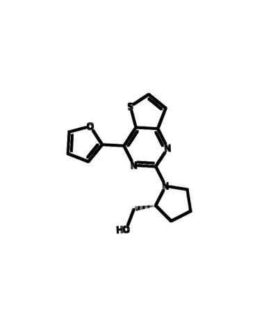 OC[C@H]1CCCN1c1nc(-c2ccco2)c2sccc2n1